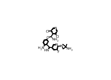 CC1(N)CN(c2ncc(C(=N)c3cc(O[C@H](N)c4c(Cl)cncc4Cl)ccc3N)cc2F)C1